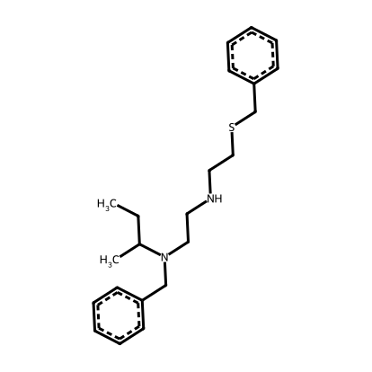 CCC(C)N(CCNCCSCc1ccccc1)Cc1ccccc1